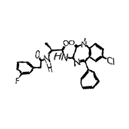 C[C@H](NC(=O)Cc1cccc(F)c1)C(=O)NC1N=C(c2ccccc2)c2cc(Cl)ccc2N(C)C1=O